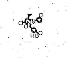 CN(Cc1c(C2CC2)cc(Cl)c(=O)n1CCc1ccc(C(=O)O)cc1)c1cccc(Cl)c1